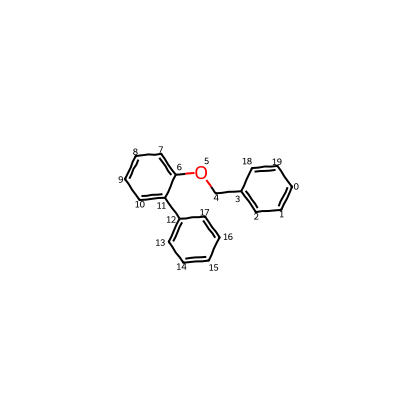 c1ccc(COc2ccccc2-c2ccccc2)cc1